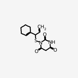 C=CC(SN1C(=O)CC(=O)NC1=O)C1=CCCCC1